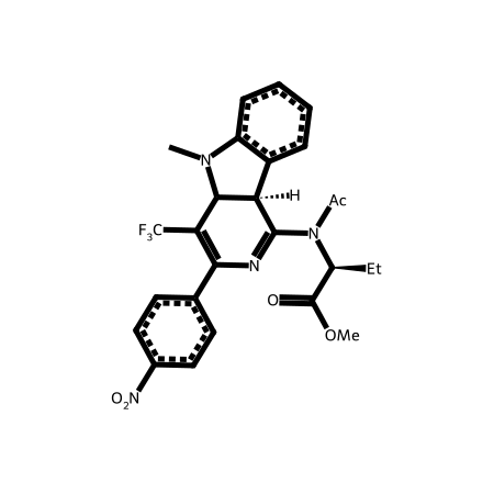 CC[C@@H](C(=O)OC)N(C(C)=O)C1=NC(c2ccc([N+](=O)[O-])cc2)=C(C(F)(F)F)C2[C@H]1c1ccccc1N2C